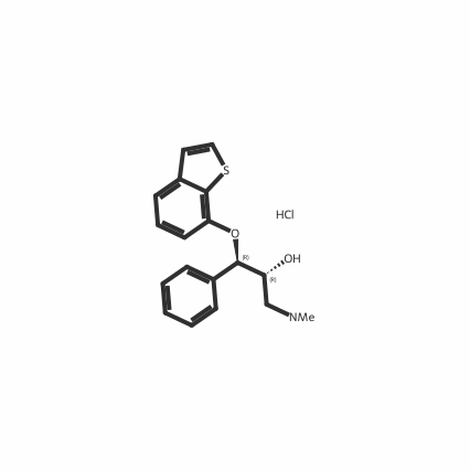 CNC[C@@H](O)[C@H](Oc1cccc2ccsc12)c1ccccc1.Cl